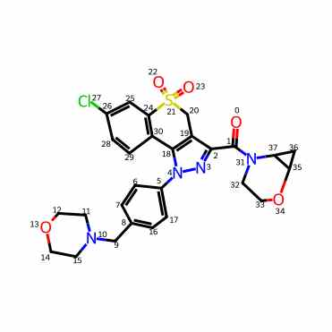 O=C(c1nn(-c2ccc(CN3CCOCC3)cc2)c2c1CS(=O)(=O)c1cc(Cl)ccc1-2)N1CCOC2CC21